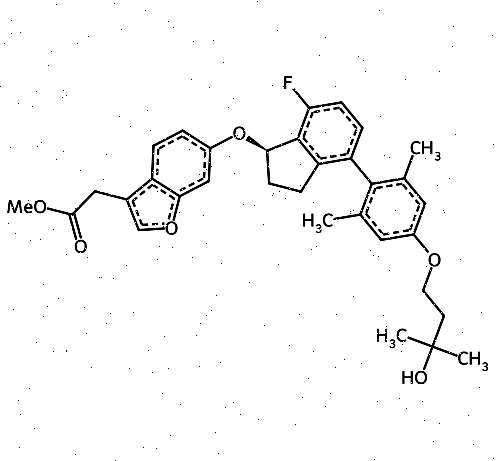 COC(=O)Cc1coc2cc(O[C@@H]3CCc4c(-c5c(C)cc(OCCC(C)(C)O)cc5C)ccc(F)c43)ccc12